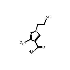 NC(=O)c1cn(CCS)nc1[N+](=O)[O-]